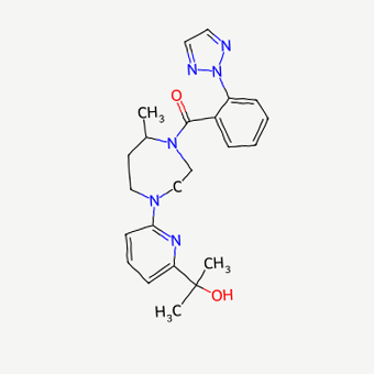 CC1CCN(c2cccc(C(C)(C)O)n2)CCN1C(=O)c1ccccc1-n1nccn1